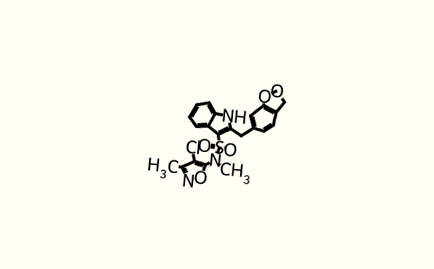 Cc1noc(N(C)S(=O)(=O)c2c(Cc3ccc4c(c3)OOC4)[nH]c3ccccc23)c1Cl